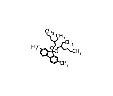 CCCCC(CC)COC1(OCC(CC)CCCC)c2cc(C)ccc2-c2ccc(C)cc21